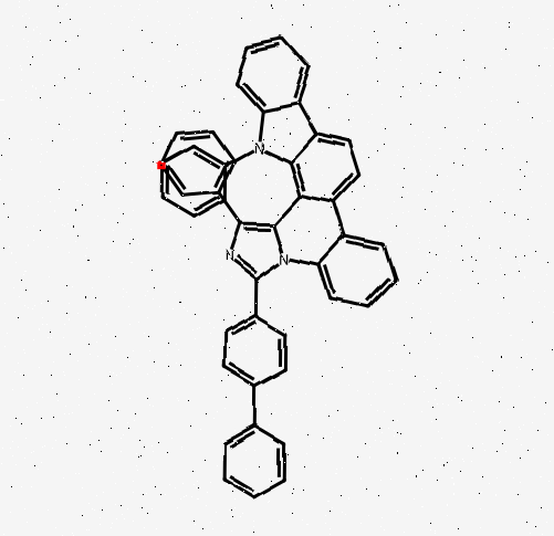 c1ccc(-c2ccc(-c3nc(-c4ccccc4)c4c5c(ccc6c7ccccc7n(-c7ccccc7)c65)c5ccccc5n34)cc2)cc1